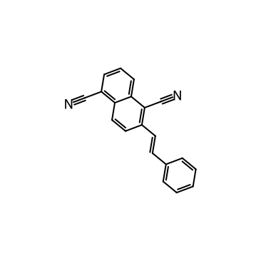 N#Cc1cccc2c(C#N)c(C=Cc3ccccc3)ccc12